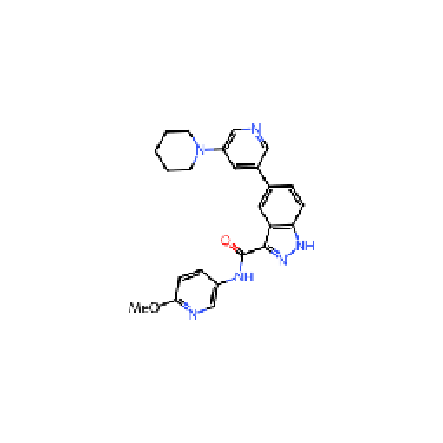 COc1ccc(NC(=O)c2n[nH]c3ccc(-c4cncc(N5CCCCC5)c4)cc23)cn1